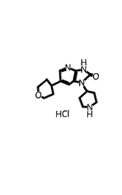 Cl.O=c1[nH]c2ncc(C3CCOCC3)cc2n1C1CCNCC1